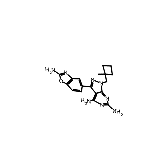 CC1(Cn2nc(-c3ccc4oc(N)nc4c3)c3c(N)nc(N)nc32)CCC1